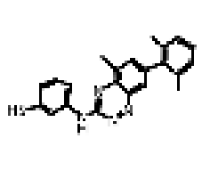 Cc1cccc(C)c1-c1cc(C)c2nc(Nc3cccc(S)c3)nnc2c1